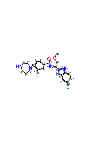 COC[C@H](NC(=O)c1ccc(N2CCCNCC2)c(Cl)c1)c1nc2cc(Cl)ccc2[nH]1